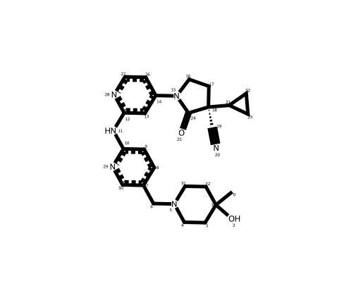 CC1(O)CCN(Cc2ccc(Nc3cc(N4CC[C@@](C#N)(C5CC5)C4=O)ccn3)nc2)CC1